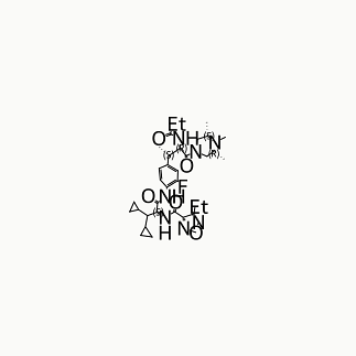 CCC(=O)N[C@@H](C(=O)N1C[C@@H](C)N(C)[C@@H](C)C1)[C@@H](C)c1ccc(NC(=O)[C@@H](NC(=O)c2nonc2CC)C(C2CC2)C2CC2)c(F)c1